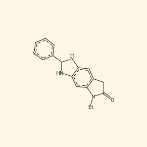 CCN1C(=O)Cc2cc3c(cc21)NC(c1cccnc1)N3